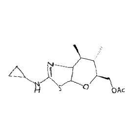 CC(=O)OC[C@H]1OC2SC(NC3CC3)=NC2[C@@H](C)[C@@H]1C